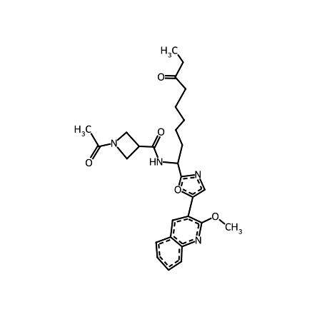 CCC(=O)CCCCCC(NC(=O)C1CN(C(C)=O)C1)c1ncc(-c2cc3ccccc3nc2OC)o1